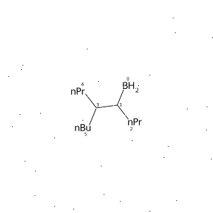 BC(CCC)C(CCC)CCCC